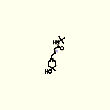 CC1(O)CCN(C/C=C/C(=O)NC(C)(C)C)CC1